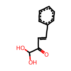 O=C(C=Cc1ccccc1)C(O)O